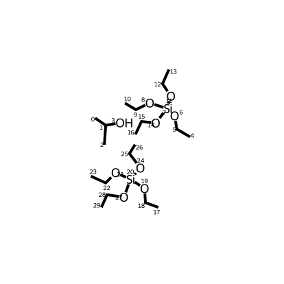 CC(C)O.CCO[Si](OCC)(OCC)OCC.CCO[Si](OCC)(OCC)OCC